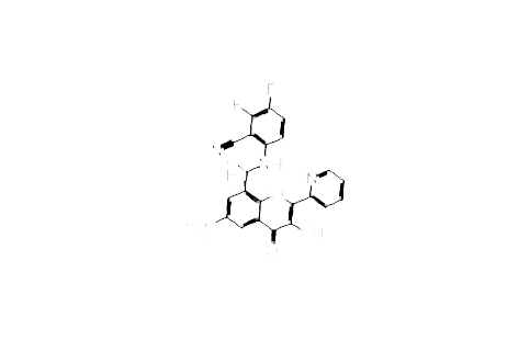 Cc1cc([C@@H](C)Nc2ccc(F)c(F)c2C#N)c2oc(-c3ccccn3)c(C)c(=O)c2c1